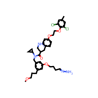 COCCCc1cc(CN(C(=O)C(CN)Cc2ccc(OCCOc3c(Cl)cc(C)cc3Cl)cc2)C2CC2)cc(OCCC/C=N/N)c1